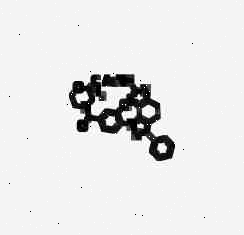 C=C1CN(C(=O)c2ccc(-n3nc(-c4ccccc4)c4c3-c3sc(NC(C)=O)nc3CC4)c(Cl)c2)CCO1